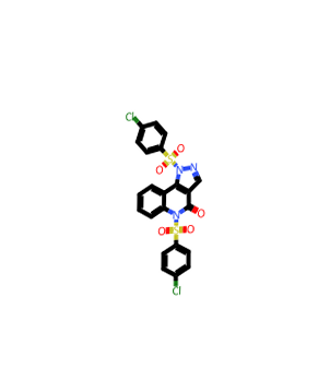 O=c1c2cnn(S(=O)(=O)c3ccc(Cl)cc3)c2c2ccccc2n1S(=O)(=O)c1ccc(Cl)cc1